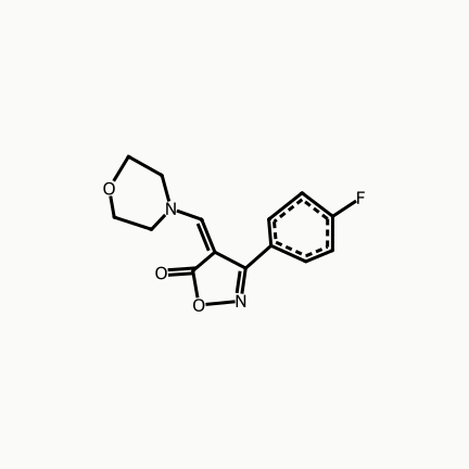 O=C1ON=C(c2ccc(F)cc2)C1=CN1CCOCC1